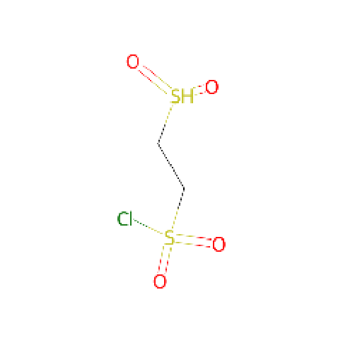 O=[SH](=O)CCS(=O)(=O)Cl